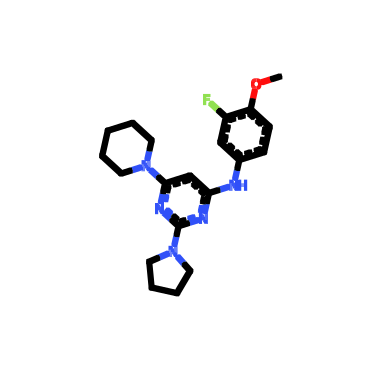 COc1ccc(Nc2cc(N3CCCCC3)nc(N3CCCC3)n2)cc1F